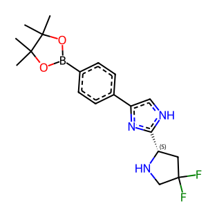 CC1(C)OB(c2ccc(-c3c[nH]c([C@@H]4CC(F)(F)CN4)n3)cc2)OC1(C)C